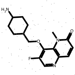 Cn1c(=O)ccc2ncc(F)c(OCC3CCC(N)CC3)c21